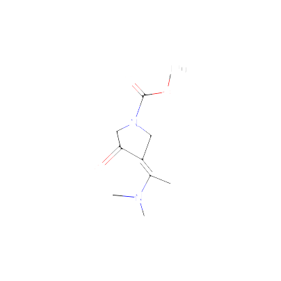 C/C(=C1\CN(C(=O)OC(C)(C)C)CC1=O)N(C)C